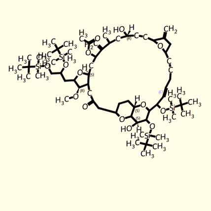 C=C1CC2CCC/C=C/C(O[Si](C)(C)C(C)(C)C)C3O[C@H]4CCC(CC(=O)CC5[C@@H](OC)C(CC(CO[Si](C)(C)C(C)(C)C)O[Si](C)(C)C(C)(C)C)O[C@H]5CC(OC(C)=O)C(=C)C(C)C[C@H](O)CCC1O2)OC4[C@H](O)C3O[Si](C)(C)C(C)(C)C